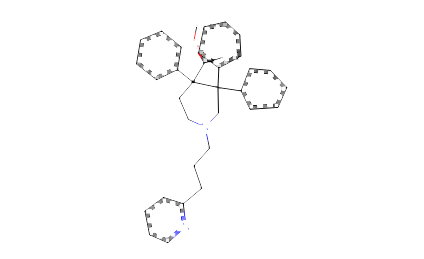 COC(C)C1(c2ccccc2)CCN(CCCc2ccccn2)CC1(c1ccccc1)c1ccccc1